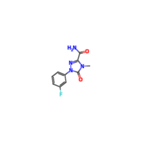 Cn1c(C(N)=O)nn(-c2cccc(F)c2)c1=O